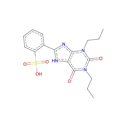 CCCn1c(=O)c2[nH]c(-c3ccccc3S(=O)(=O)O)nc2n(CCC)c1=O